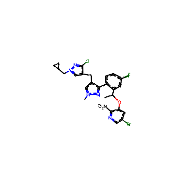 CC(Oc1cc(Br)cnc1[N+](=O)[O-])c1cc(F)ccc1-c1nn(C)cc1Cc1cn(CC2CC2)nc1Cl